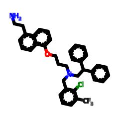 NCCc1cccc2c(OCCCN(Cc3cccc(C(F)(F)F)c3Cl)CC(c3ccccc3)c3ccccc3)cccc12